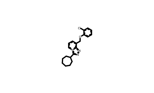 Clc1ccccc1OCc1cccn2c(C3CCCCCC3)nnc12